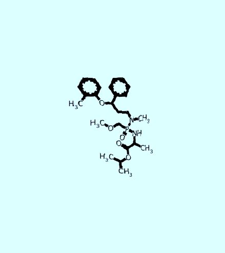 COCP(=O)(NC(C)C(=O)OC(C)C)N(C)CCC(Oc1ccccc1C)c1ccccc1